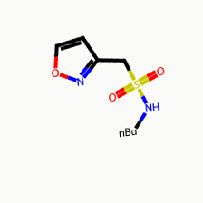 CCCCNS(=O)(=O)Cc1ccon1